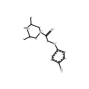 CC1CN(C(=O)COc2ccc(Cl)cc2)CC(C)N1